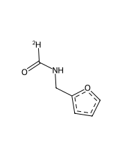 [2H]C(=O)NCc1ccco1